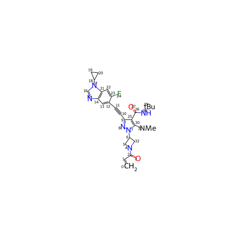 C=CC(=O)N1CC(n2nc(C#Cc3cc4ncn(C5CC5)c4cc3F)c(C(=O)NC(C)(C)C)c2NC)C1